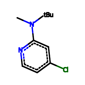 CN(c1cc(Cl)ccn1)C(C)(C)C